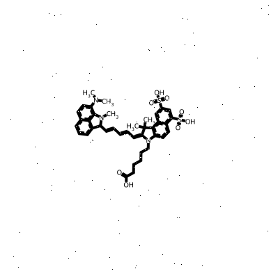 CN(C)c1ccc2cccc3c2c1N(C)C3/C=C/C=C/C=C1/N(CCCCCC(=O)O)c2ccc3c(S(=O)(=O)O)cc(S(=O)(=O)O)cc3c2C1(C)C